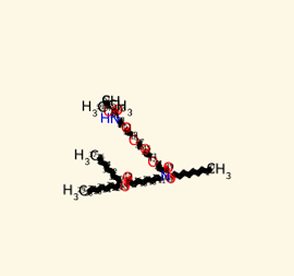 CCCCCCCCCON(CCCCCCCC(=O)OC(CCCCCCCC)CCCCCCCC)C(=O)CCOCCOCCOCCOCCNC(=O)OC(C)(C)C